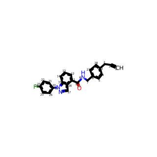 C#CCc1ccc(CNC(=O)c2cccc3c2cnn3-c2ccc(F)cc2)cc1